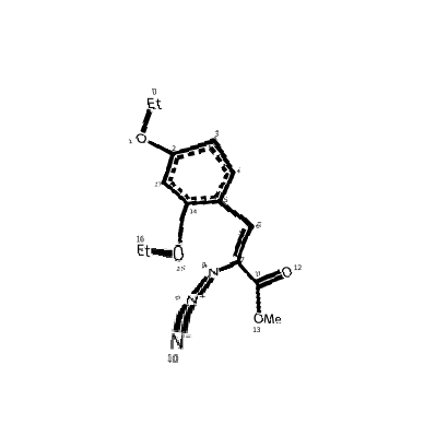 CCOc1ccc(/C=C(\N=[N+]=[N-])C(=O)OC)c(OCC)c1